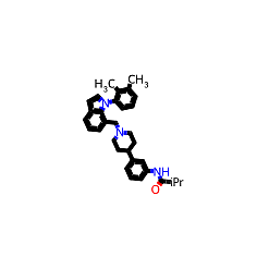 Cc1cccc(-n2ccc3cccc(CN4CCC(c5cccc(NC(=O)C(C)C)c5)CC4)c32)c1C